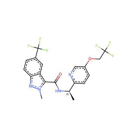 C[C@@H](NC(=O)c1c2cc(C(F)(F)F)ccc2nn1C)c1ccc(OCC(F)(F)F)cn1